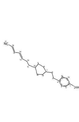 CCCCCCCc1ccc(CCC2CCC(CCC=CC=CC#N)CC2)cc1